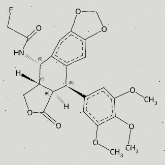 COc1cc([C@@H]2c3cc4c(cc3[C@@H](NC(=O)CF)[C@H]3COC(=O)[C@H]23)OCO4)cc(OC)c1OC